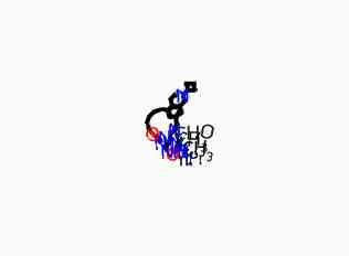 CCCN(C)C(=O)N(C)c1c(N)nc2nc1N(C=O)Cc1cc(c3c(c1)CN(C1CCC1)CC3)CCCCCO2